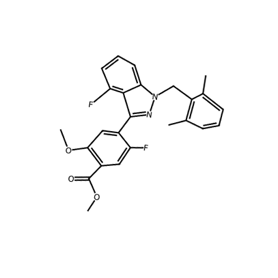 COC(=O)c1cc(F)c(-c2nn(Cc3c(C)cccc3C)c3cccc(F)c23)cc1OC